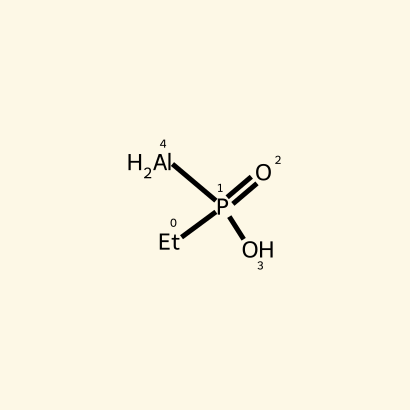 CC[P](=O)(O)[AlH2]